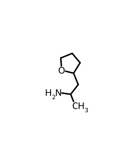 CC(N)CC1CCCO1